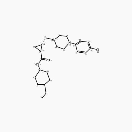 CCC1CCC(NC(=O)[C@H]2C[C@@H]2CN2CCN(c3ccc(Cl)cc3)CC2)CC1